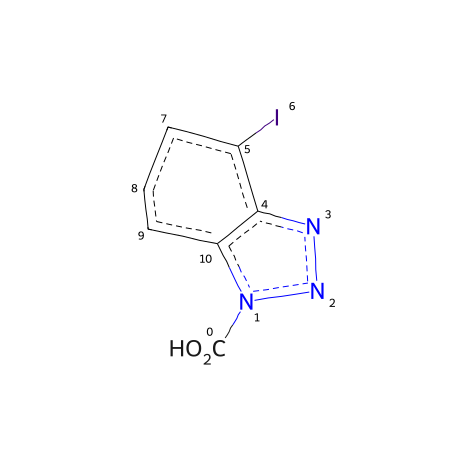 O=C(O)n1nnc2c(I)cccc21